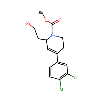 CC(C)(C)OC(=O)N1CCC(c2ccc(Cl)c(Cl)c2)=CC1CCO